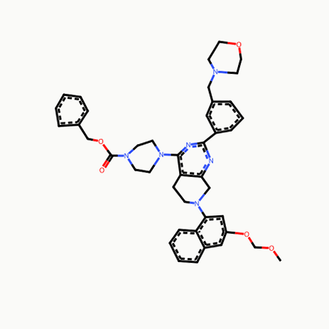 COCOc1cc(N2CCc3c(nc(-c4cccc(CN5CCOCC5)c4)nc3N3CCN(C(=O)OCc4ccccc4)CC3)C2)c2ccccc2c1